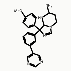 COc1ccc(C2(c3cccc(-c4cncnc4)c3)N=CN3CCC(N)NC32)cc1